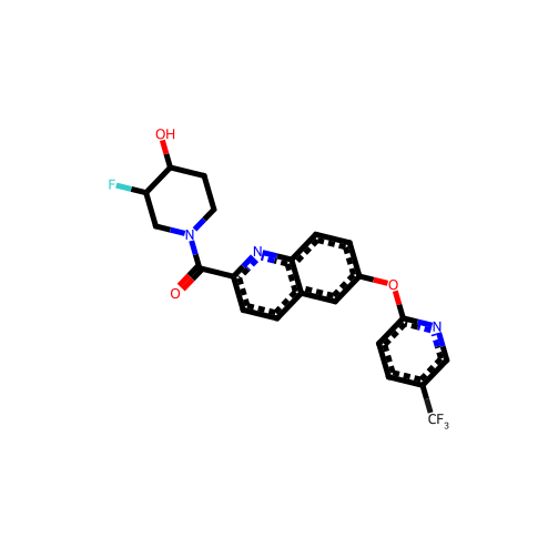 O=C(c1ccc2cc(Oc3ccc(C(F)(F)F)cn3)ccc2n1)N1CCC(O)C(F)C1